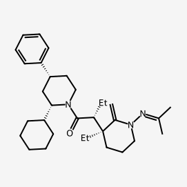 C=C1N(N=C(C)C)CCC[C@@]1(CC)[C@@H](CC)C(=O)N1CC[C@@H](c2ccccc2)C[C@H]1C1CCCCC1